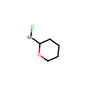 [Cl][Sn][CH]1CCCCO1